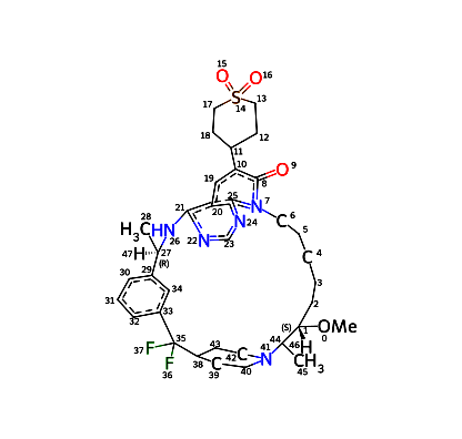 CO[C@H]1CCCCCn2c(=O)c(C3CCS(=O)(=O)CC3)cc3c(ncnc32)N[C@H](C)c2cccc(c2)C(F)(F)C2CCN(CC2)C1C